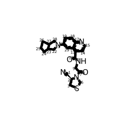 N#C[C@@H]1CSCN1C(=O)CNC(=O)c1ccnc2ccc(N3CC4CCCC4C3)cc12